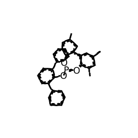 Cc1ccc2op(Oc3c(-c4ccccc4)cccc3-c3ccccc3)oc3c(C)cc(C)cc3c2c1